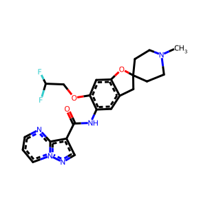 CN1CCC2(CC1)Cc1cc(NC(=O)c3cnn4cccnc34)c(OCC(F)F)cc1O2